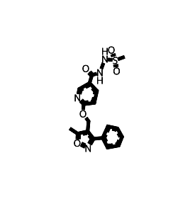 Cc1onc(-c2ccccc2)c1COc1ccc(C(=O)NNS(C)(=O)=O)cn1